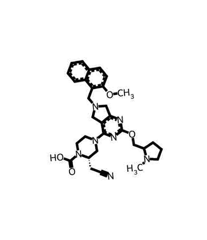 COc1ccc2ccccc2c1CN1Cc2nc(OCC3CCCN3C)nc(N3CCN(C(=O)O)[C@@H](CC#N)C3)c2C1